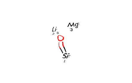 O=[Si].[Li].[Mg]